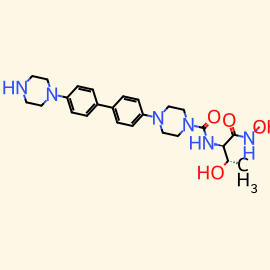 C[C@H](O)[C@@H](NC(=O)N1CCN(c2ccc(-c3ccc(N4CCNCC4)cc3)cc2)CC1)C(=O)NO